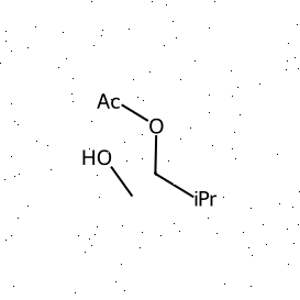 CC(=O)OCC(C)C.CO